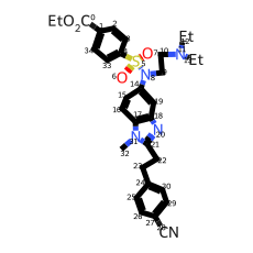 CCOC(=O)c1ccc(S(=O)(=O)N(CCN(CC)CC)c2ccc3c(c2)nc(CCc2ccc(C#N)cc2)n3C)cc1